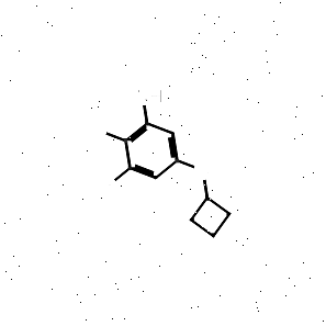 Nc1cc(OC2CCC2)cc(F)c1F